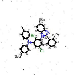 Cc1ccc(N(c2ccc(C(C)(C)C)cc2)c2cc(Cl)cc(-n3c(-c4c(C(C)C)cccc4C(C)C)nc4cc(C(C)(C)C)ccc43)c2Br)cc1